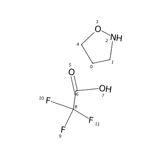 C1CNOC1.O=C(O)C(F)(F)F